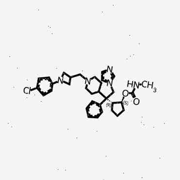 CNC(=O)O[C@H]1CCC[C@@H]1C(Cn1ccnc1)(c1ccccc1)C1CCN(CC2CN(c3ccc(Cl)cc3)C2)CC1